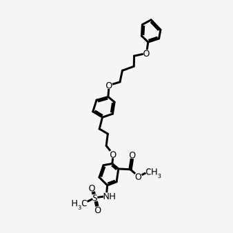 COC(=O)c1cc(NS(C)(=O)=O)ccc1OCCCc1ccc(OCCCCOc2ccccc2)cc1